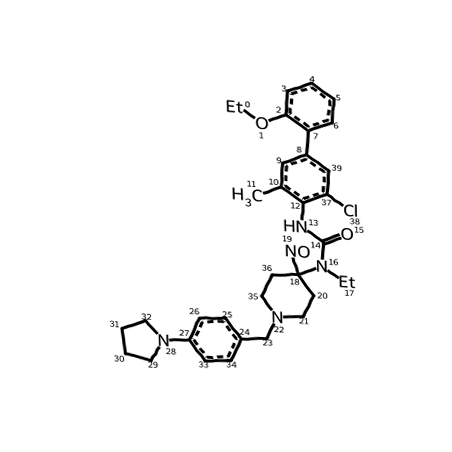 CCOc1ccccc1-c1cc(C)c(NC(=O)N(CC)C2(N=O)CCN(Cc3ccc(N4CCCC4)cc3)CC2)c(Cl)c1